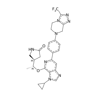 C[C@@H](Oc1nc(-c2ccc(N3CCn4c(nnc4C(F)(F)F)C3)cc2)cc2ncn(C3CC3)c12)[C@H]1CNC(=O)C1